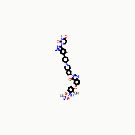 CCN(C)S(=O)(=O)Nc1ccc(F)c(Oc2ccc3ncn([C@H]4CCC5(CCN(C6CCC(c7cc8c(cc7F)c(N7CCC(=O)NC7=O)nn8C)CC6)CC5)C4)c(=O)c3c2)c1C#N